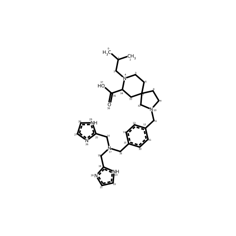 CC(C)CN1CCC2(CCN(Cc3ccc(CN(Cc4ncc[nH]4)Cc4ncc[nH]4)cc3)C2)CC1C(=O)O